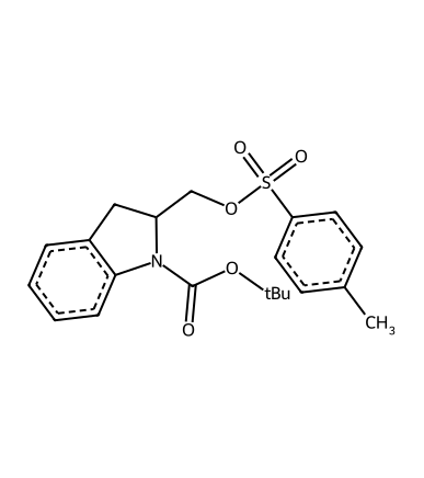 Cc1ccc(S(=O)(=O)OCC2Cc3ccccc3N2C(=O)OC(C)(C)C)cc1